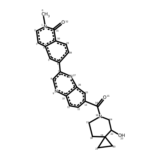 Cn1ccc2cc(-c3cnc4ccc(C(=O)N5CCC6(CC6)C(O)C5)cc4n3)ccc2c1=O